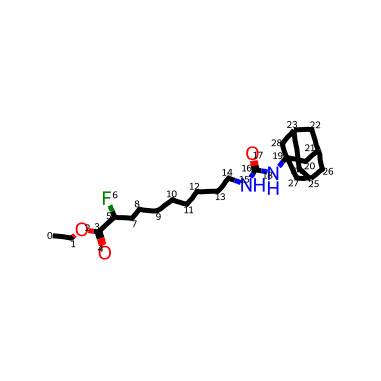 CCOC(=O)C(F)CCCCCCCCNC(=O)NC12CC3CC(CC(C3)C1)C2